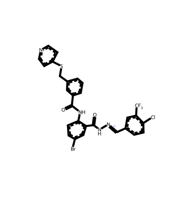 O=C(Nc1ccc(Br)cc1C(=O)N/N=C/c1ccc(Cl)c(C(F)(F)F)c1)c1cccc(CSc2ccncc2)c1